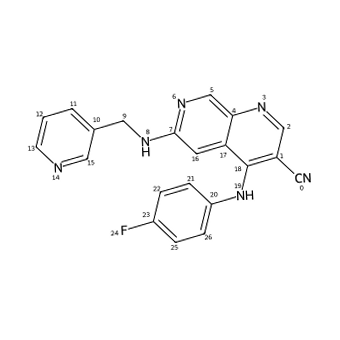 N#Cc1cnc2cnc(NCc3cccnc3)cc2c1Nc1ccc(F)cc1